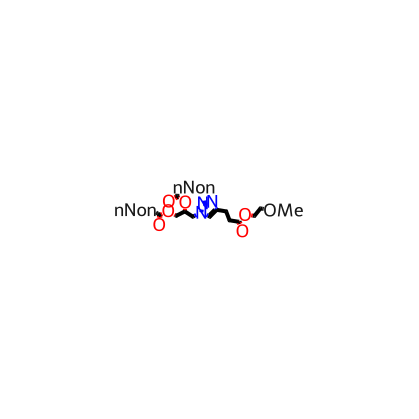 CCCCCCCCCC(=O)OCC(Cn1cc(CCC(=O)OCCOC)nn1)OC(=O)CCCCCCCCC